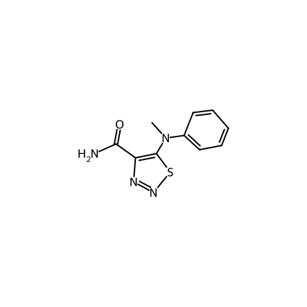 CN(c1ccccc1)c1snnc1C(N)=O